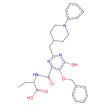 CCC(NC(=O)c1nc(CC2CCN(c3ccccc3)CC2)nc(O)c1OCc1ccccc1)C(=O)O